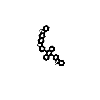 c1ccc2c(c1)oc1cc3cc4sc5ccc(-c6c7ccccc7c(-c7ccc8c(c7)sc7ccccc78)c7ccccc67)cc5c4cc3cc12